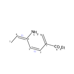 C=C(/C=C\C(N)=C/C)C(=O)OCC